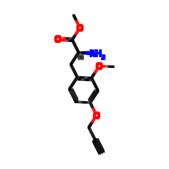 C#CCOc1ccc(C[C@H](N)C(=O)OC)c(OC)c1